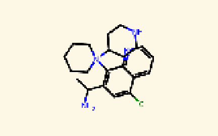 CC(N)c1cc(Cl)c2cccnc2c1[N+]1(C2CCNCC2)CCCCC1